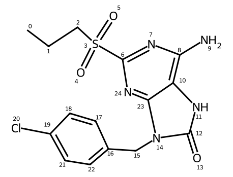 CCCS(=O)(=O)c1nc(N)c2[nH]c(=O)n(Cc3ccc(Cl)cc3)c2n1